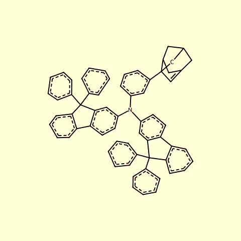 C1=C2CC3CC(C2)C1(c1cccc(N(c2ccc4c(c2)C(c2ccccc2)(c2ccccc2)c2ccccc2-4)c2ccc4c(c2)C(c2ccccc2)(c2ccccc2)c2ccccc2-4)c1)C3